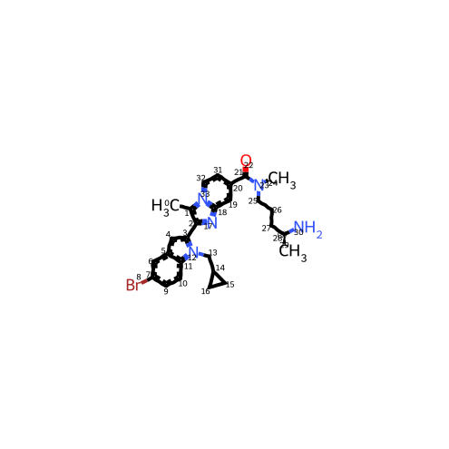 Cc1c(-c2cc3cc(Br)ccc3n2CC2CC2)nc2cc(C(=O)N(C)CCC[C@H](C)N)ccn12